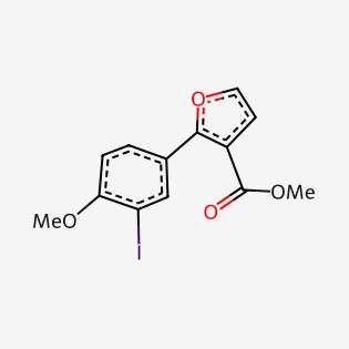 COC(=O)c1ccoc1-c1ccc(OC)c(I)c1